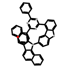 c1ccc(-c2nc(-c3ccccc3)nc(-c3cccc4sc5ccc(-n6c7cc8ccccc8cc7c7ccc8ccccc8c76)cc5c34)n2)cc1